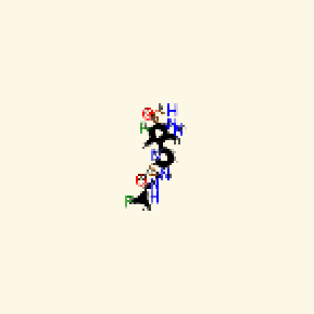 Cc1c(F)c([S+](C)[O-])c2[nH]ncc2c1-c1ccc2nc(NC(=O)[C@@H]3C[C@@H]3F)sc2n1